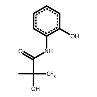 CC(O)(C(=O)Nc1ccccc1O)C(F)(F)F